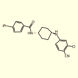 CC(C)c1ccc(C(=O)N[C@H]2CC[C@H](Nc3ccc(C#N)c(Cl)c3)CC2)cc1